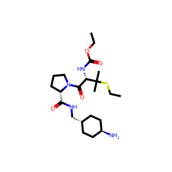 CCOC(=O)N[C@@H](C(=O)N1CCC[C@H]1C(=O)NC[C@H]1CC[C@H](N)CC1)C(C)(C)SCC